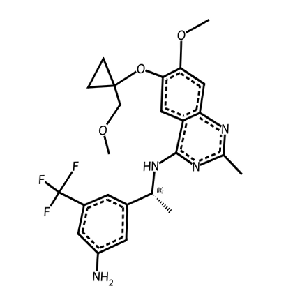 COCC1(Oc2cc3c(N[C@H](C)c4cc(N)cc(C(F)(F)F)c4)nc(C)nc3cc2OC)CC1